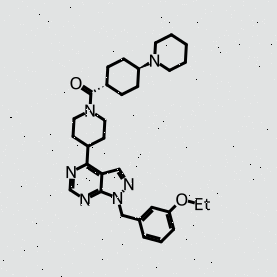 CCOc1cccc(Cn2ncc3c(C4CCN(C(=O)[C@H]5CC[C@H](N6CCCCC6)CC5)CC4)ncnc32)c1